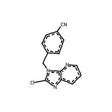 N#Cc1ccc(Cn2c(Cl)nc3cccnc32)cc1